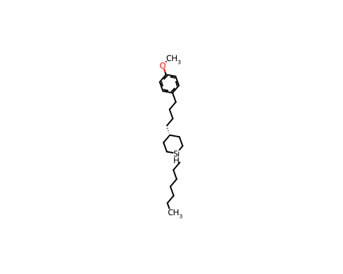 CCCCCCC[Si@H]1CC[C@H](CCCCc2ccc(OC)cc2)CC1